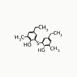 CCc1cc(C)c(O)c(Sc2cc(CC)cc(C)c2O)c1